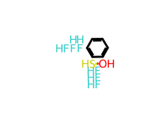 F.F.F.F.F.F.OS.c1ccccc1